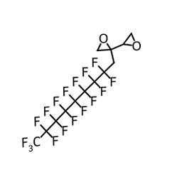 FC(F)(F)C(F)(F)C(F)(F)C(F)(F)C(F)(F)C(F)(F)C(F)(F)C(F)(F)CC1(C2CO2)CO1